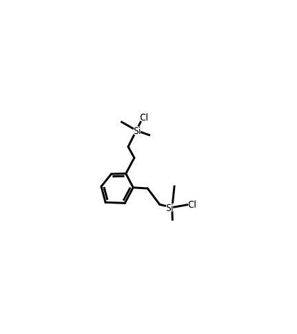 C[Si](C)(Cl)CCc1ccccc1CC[Si](C)(C)Cl